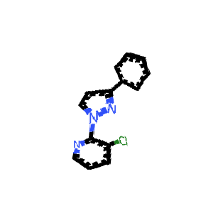 Clc1cccnc1-n1ccc(-c2ccccc2)n1